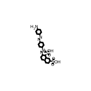 Nc1ccc(N=Nc2ccc(N=Nc3ccc4ccc(S(=O)(=O)O)cc4c3S(=O)(=O)O)cc2)cc1